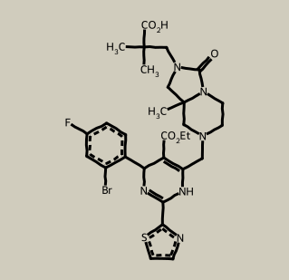 CCOC(=O)C1=C(CN2CCN3C(=O)N(CC(C)(C)C(=O)O)CC3(C)C2)NC(c2nccs2)=NC1c1ccc(F)cc1Br